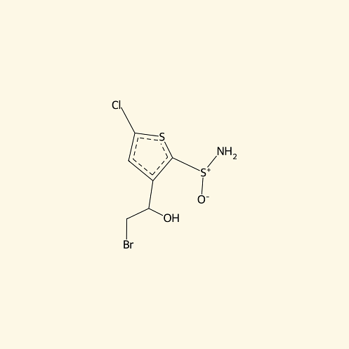 N[S+]([O-])c1sc(Cl)cc1C(O)CBr